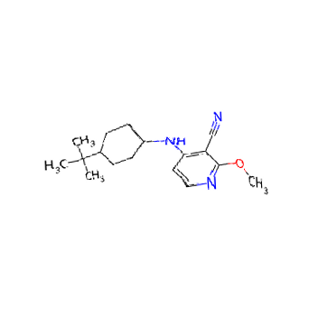 COc1nccc(NC2CCC(C(C)(C)C)CC2)c1C#N